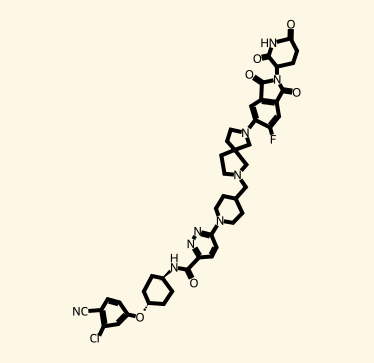 N#Cc1ccc(O[C@H]2CC[C@H](NC(=O)c3ccc(N4CCC(CN5CCC6(CCN(c7cc8c(cc7F)C(=O)N(C7CCC(=O)NC7=O)C8=O)C6)C5)CC4)nn3)CC2)cc1Cl